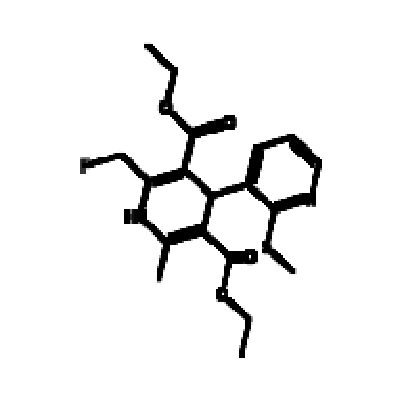 CCOC(=O)C1=C(C)NC(CF)=C(C(=O)OCC)C1c1cccnc1SC